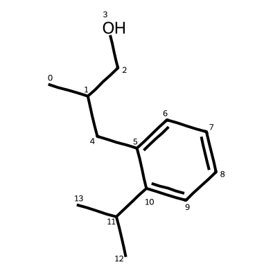 CC(CO)Cc1ccccc1C(C)C